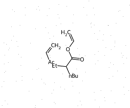 C=CC(C)=O.C=COC(=O)C(CC)CCCC